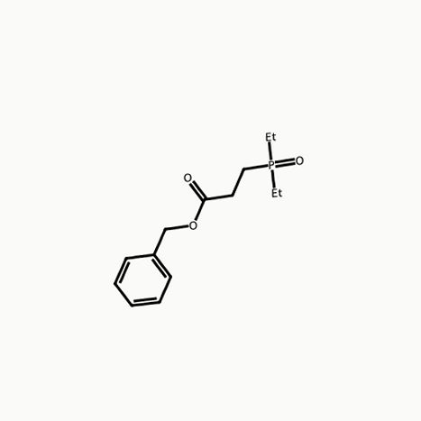 CCP(=O)(CC)CCC(=O)OCc1ccccc1